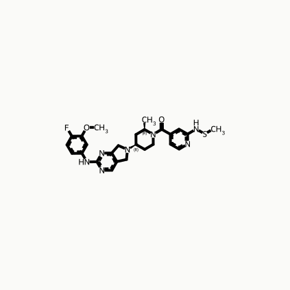 COc1cc(Nc2ncc3c(n2)CN([C@@H]2CCN(C(=O)c4ccnc(NSC)c4)[C@H](C)C2)C3)ccc1F